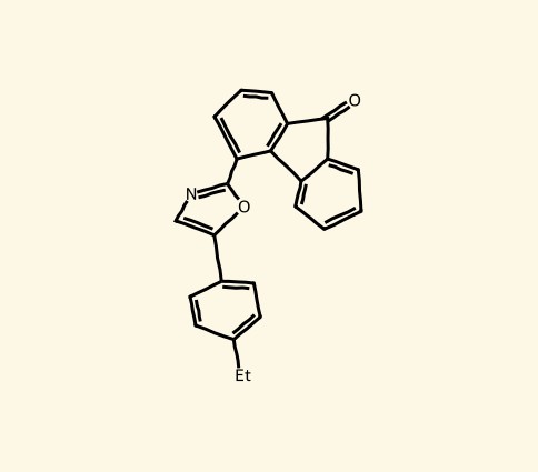 CCc1ccc(-c2cnc(-c3cccc4c3-c3ccccc3C4=O)o2)cc1